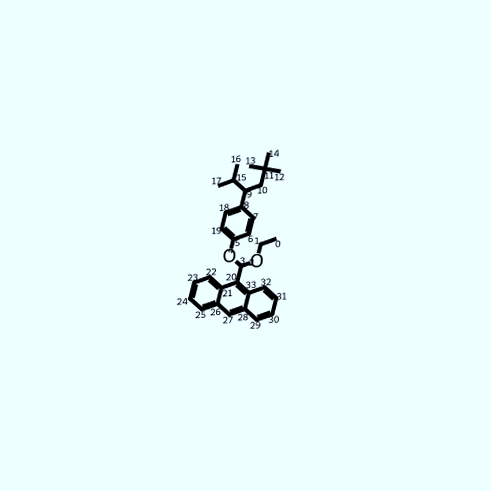 CCOC(Oc1ccc(C(CC(C)(C)C)C(C)C)cc1)c1c2ccccc2cc2ccccc12